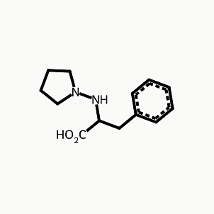 O=C(O)C(Cc1ccccc1)NN1CCCC1